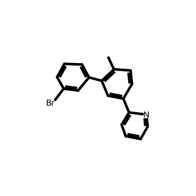 Cc1ccc(-c2ccccn2)cc1-c1cccc(Br)c1